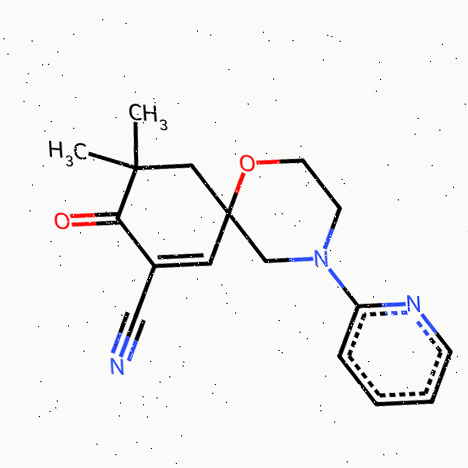 CC1(C)CC2(C=C(C#N)C1=O)CN(c1ccccn1)CCO2